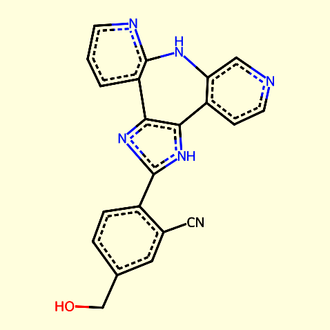 N#Cc1cc(CO)ccc1-c1nc2c([nH]1)-c1ccncc1Nc1ncccc1-2